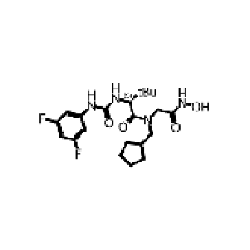 CC(C)(C)[C@H](NC(=O)Nc1cc(F)cc(F)c1)C(=O)N(CC(=O)NO)CC1CCCC1